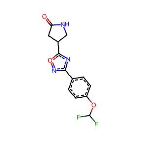 O=C1CC(c2nc(-c3ccc(OC(F)F)cc3)no2)CN1